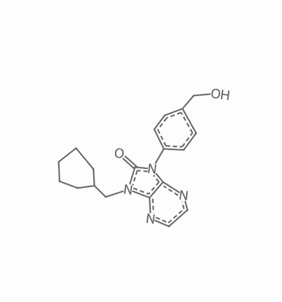 O=c1n(CC2CCCCC2)c2nccnc2n1-c1ccc(CO)cc1